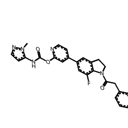 Cn1nccc1NC(=O)Oc1cc(-c2cc(F)c3c(c2)CCN3C(=O)Cc2cccnc2Cl)ccn1